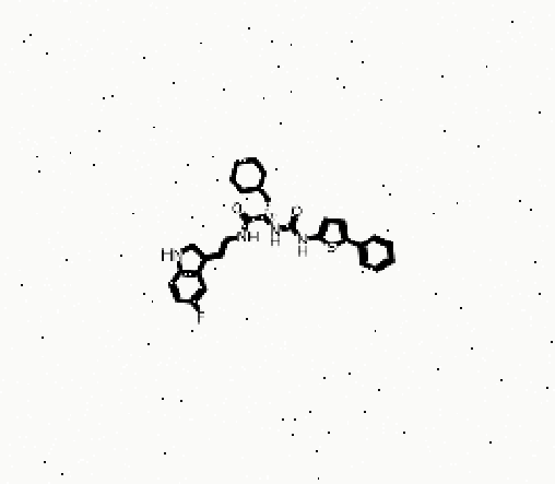 O=C(Nc1ccc(-c2ccccc2)s1)N[C@@H](CC1CCCCC1)C(=O)NCCC1CNc2ccc(F)cc21